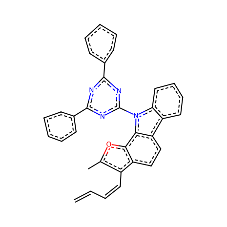 C=C/C=C\c1c(C)oc2c1ccc1c3ccccc3n(-c3nc(-c4ccccc4)nc(-c4ccccc4)n3)c12